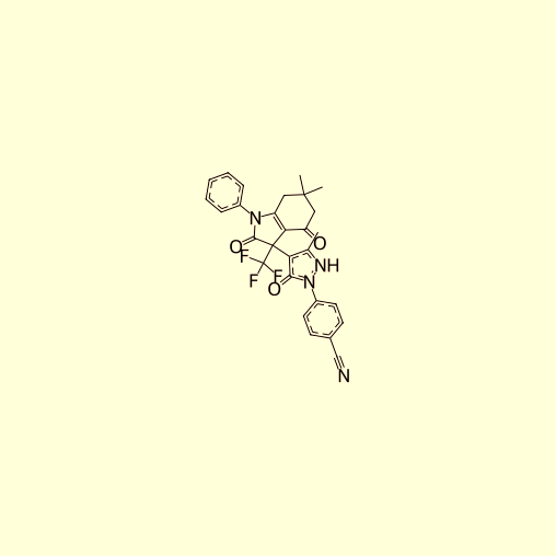 Cc1[nH]n(-c2ccc(C#N)cc2)c(=O)c1C1(C(F)(F)F)C(=O)N(c2ccccc2)C2=C1C(=O)CC(C)(C)C2